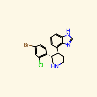 Clc1cc(Br)ccc1[C@H]1CNCC[C@@H]1c1cccc2[nH]cnc12